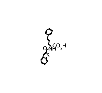 O=C(N[C@H](CC=Cc1ccccc1)C(=O)O)c1cc2ccccc2s1